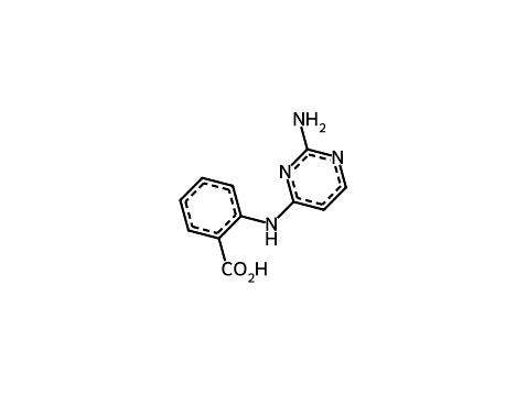 Nc1nccc(Nc2ccccc2C(=O)O)n1